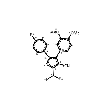 COc1ccc(-c2c(C#N)c(C(F)F)nn2-c2ccc(F)cc2)cc1OC